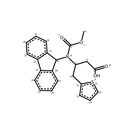 COC(=O)N(C(CC(=O)O)Cc1cccs1)C1c2ccccc2-c2ccccc21